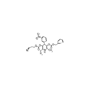 CC1=C(OC(=O)OCCC#N)C(c2cccc([N+](=O)[O-])c2)C(OC(=O)OCc2ccccc2)=C(C)N1